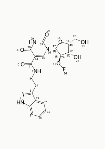 O=C(NCCc1c[nH]c2ccccc12)c1cn([C@@H]2O[C@H](CO)[C@H](O)[C@H]2OF)c(=O)[nH]c1=O